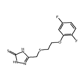 Fc1ccc(F)c(OCCSCc2n[nH]c(=S)[nH]2)c1